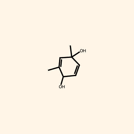 CC1=CC(C)(O)C=CC1O